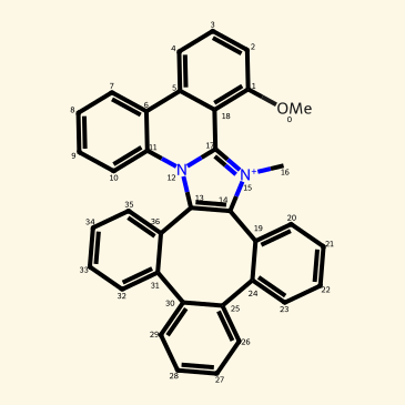 COc1cccc2c3ccccc3n3c4c([n+](C)c3c12)-c1ccccc1-c1ccccc1-c1ccccc1-4